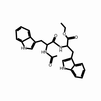 CCOC(=O)C(Cc1c[nH]c2ccccc12)NC(=O)C(Cc1c[nH]c2ccccc12)NC(C)=O